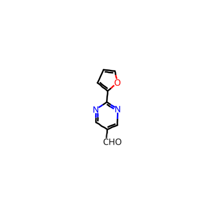 O=Cc1cnc(-c2ccco2)nc1